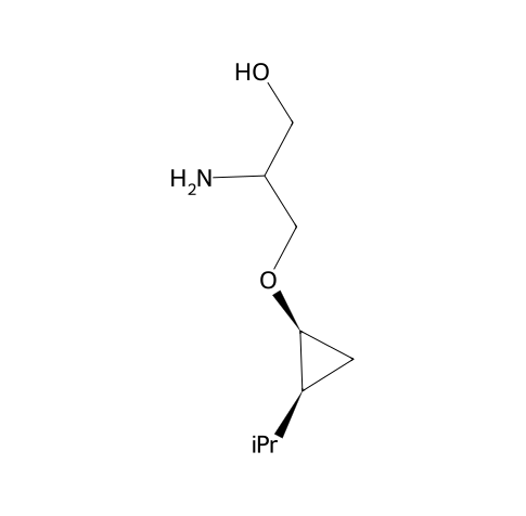 CC(C)[C@@H]1C[C@@H]1OCC(N)CO